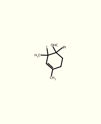 CC1=CC(C)(I)C(C=O)(C(C)C)CC1